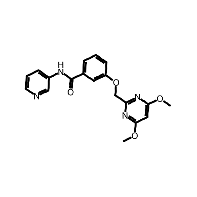 COc1cc(OC)nc(COc2cccc(C(=O)Nc3cccnc3)c2)n1